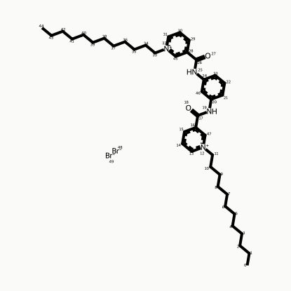 CCCCCCCCCCCC[n+]1cccc(C(=O)Nc2cccc(NC(=O)c3ccc[n+](CCCCCCCCCCCC)c3)c2)c1.[Br-].[Br-]